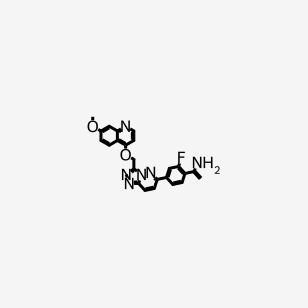 C=C(N)c1ccc(-c2ccc3nnc(COc4ccnc5cc(OC)ccc45)n3n2)cc1F